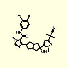 Cn1cnc(C2CC3CC(O)(c4cc(C(C)(C)C#N)nn4C)CC3C2)c1C(=O)Nc1ccc(F)c(Cl)c1